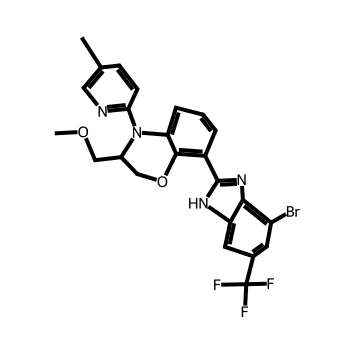 COCC1COc2c(-c3nc4c(Br)cc(C(F)(F)F)cc4[nH]3)cccc2N1c1ccc(C)cn1